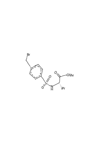 COC(=O)[C@@H](NS(=O)(=O)c1ccc(CBr)cc1)C(C)C